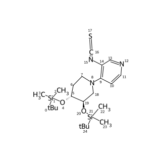 CC(C)(C)[Si](C)(C)O[C@@H]1CCN(c2ccncc2N=C=S)C[C@H]1O[Si](C)(C)C(C)(C)C